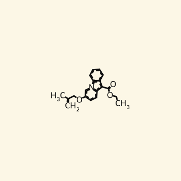 C=C(C)COc1ccc2c(C(=O)OCC)c3ccccc3n2c1